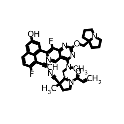 C#Cc1c(F)ccc2cc(O)cc(-c3ncc4c(N(C)C[C@H]5N(C(=O)C=C)CCC5(C)C#N)nc(OCC56CCCN5CCC6)nc4c3F)c12